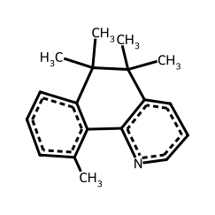 Cc1cccc2c1-c1ncccc1C(C)(C)C2(C)C